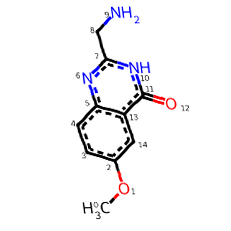 COc1ccc2nc(CN)[nH]c(=O)c2c1